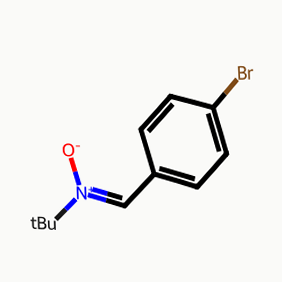 CC(C)(C)[N+]([O-])=Cc1ccc(Br)cc1